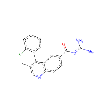 Cc1cnc2ccc(C(=O)N=C(N)N)cc2c1-c1ccccc1F